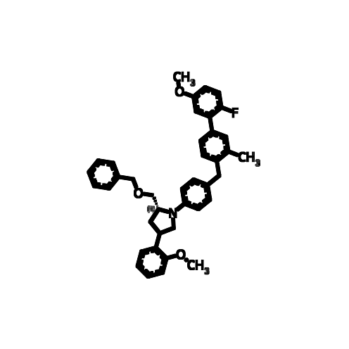 COc1ccc(F)c(-c2ccc(Cc3ccc(N4CC(c5ccccc5OC)C[C@@H]4COCc4ccccc4)cc3)c(C)c2)c1